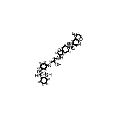 CN1CCOc2ncc(S(=O)(=O)N3CCC4(CC3)C[C@@H](NCC(O)COc3cccc(S(=O)(=O)N[C@H]5CCCC[C@@H]5O)c3)CO4)cc21